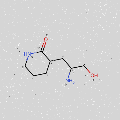 NC(CO)CC1CCCNC1=O